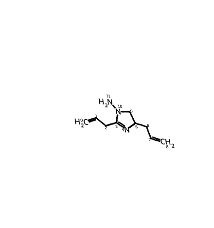 C=CCC1=NC(CC=C)CN1N